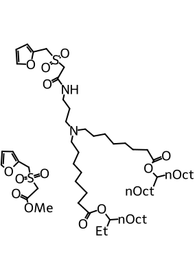 CCCCCCCCC(CC)OC(=O)CCCCCCCN(CCCCCCCC(=O)OC(CCCCCCCC)CCCCCCCC)CCCNC(=O)CS(=O)(=O)Cc1ccco1.COC(=O)CS(=O)(=O)Cc1ccco1